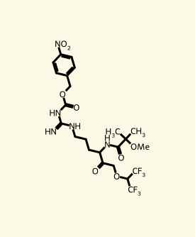 COC(C)(C)C(=O)NC(CCCNC(=N)NC(=O)OCc1ccc([N+](=O)[O-])cc1)C(=O)COC(C(F)(F)F)C(F)(F)F